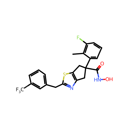 Cc1c(F)cccc1C1(C(=O)NO)Cc2nc(Cc3cccc(C(F)(F)F)c3)sc2C1